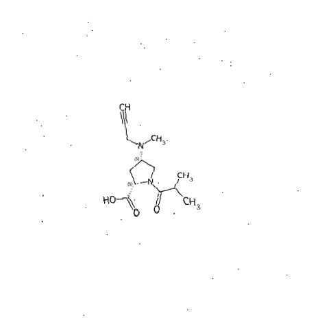 C#CCN(C)[C@H]1C[C@@H](C(=O)O)N(C(=O)C(C)C)C1